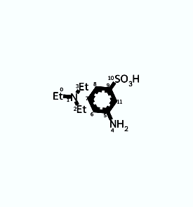 CCN(CC)CC.Nc1cccc(S(=O)(=O)O)c1